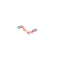 CCC(CSCCOCCOc1ccc2ccccc2c1)OCCOc1ccc2ccccc2c1